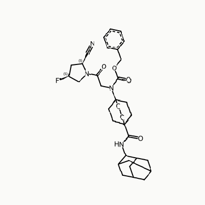 N#C[C@@H]1C[C@H](F)CN1C(=O)CN(C(=O)OCc1ccccc1)C12CCC(C(=O)NC3C4CC5CC(C4)CC3C5)(CC1)CC2